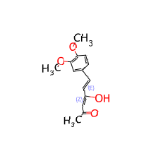 COc1ccc(/C=C/C(O)=C/C(C)=O)cc1OC